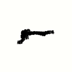 CCCCCCCCCCCCCCCCCC(=O)NC(=O)c1cc(OCCO)ccc1I(=O)=O